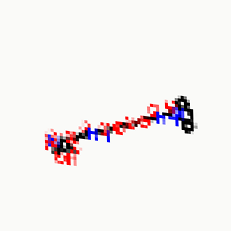 COc1cc(C(C)O)c([N+](=O)[O-])cc1OCCCC(=O)NCCOCCOCCOCCOCCC(=O)NCCC(=O)N1Cc2ccccc2C#Cc2ccccc21